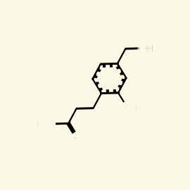 C=C(C)CCc1ccc(CO)cc1C